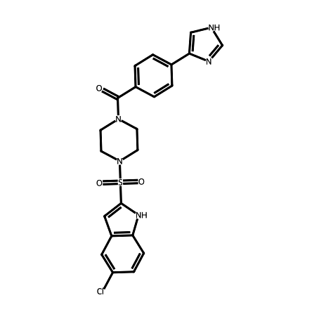 O=C(c1ccc(-c2c[nH]cn2)cc1)N1CCN(S(=O)(=O)c2cc3cc(Cl)ccc3[nH]2)CC1